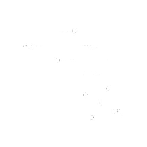 CC1COc2ccc(OS(=O)(=O)C(F)(F)F)cc2O1